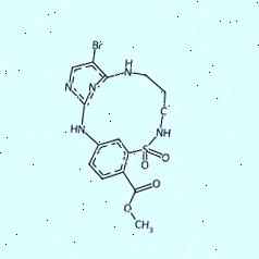 COC(=O)c1ccc2cc1S(=O)(=O)NCCCNc1nc(ncc1Br)N2